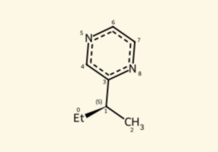 CC[C@H](C)c1cnccn1